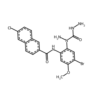 COc1cc(NC(=O)c2ccc3cc(Cl)ccc3c2)c(N(N)C(=O)NN)cc1Br